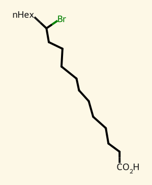 CCCCCCC(Br)CCCCCCCCCCC(=O)O